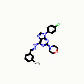 Cc1cccc(C=NNc2nc(N3CCOCC3)nc3c2ncn3-c2ccc(Cl)cc2)c1